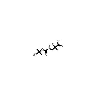 CC(C)(C)OC(=O)NCC(F)(F)C(=O)[O-].[Li+]